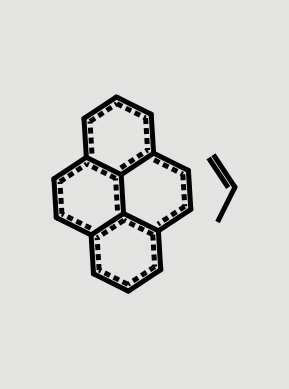 C=CC.c1cc2ccc3cccc4ccc(c1)c2c34